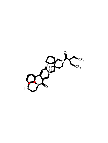 O=C(c1cn(CC2(O)CCN(C(=O)C(CC(F)(F)F)CC(F)(F)F)CC23CCCC3)c(=O)cc1-c1ccccc1)N1CCNCC1